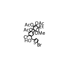 CC[C@H]1OC(OC)(c2ccc(Cl)c(C(O)c3ccc(Br)s3)c2)[C@H](OC(C)=O)[C@@H](OC(C)=O)[C@@H]1OC(C)=O